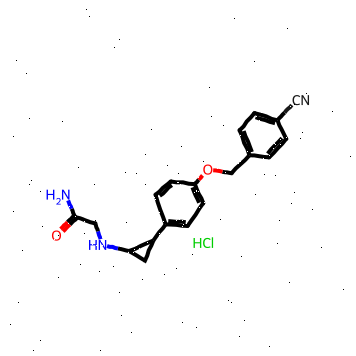 Cl.N#Cc1ccc(COc2ccc(C3CC3NCC(N)=O)cc2)cc1